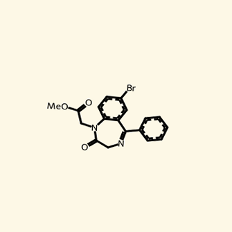 COC(=O)CN1C(=O)CN=C(c2ccccc2)c2cc(Br)ccc21